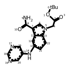 CC(C)(C)OC(=O)Cn1cc(C(N)=O)c2cc(Nc3cncnc3)ccc21